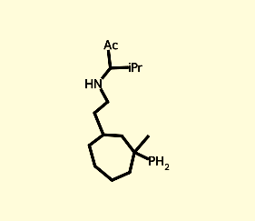 CC(=O)C(NCCC1CCCCC(C)(P)C1)C(C)C